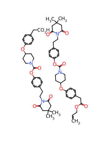 C=CCOC(=O)Cc1ccc(OC2CCN(C(=O)Oc3ccc(CCN4C(=O)CC(C)(C)CC4=O)cc3)CC2)cc1.CC1(C)CC(=O)N(CCc2ccc(OC(=O)N3CCC(Oc4ccc(CC(=O)O)cc4)CC3)cc2)C(=O)C1